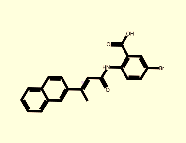 C/C(=C\C(=O)Nc1ccc(Br)cc1C(=O)O)c1ccc2ccccc2c1